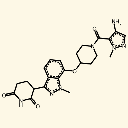 Cn1ncc(N)c1C(=O)N1CCC(Oc2cccc3c(C4CCC(=O)NC4=O)nn(C)c23)CC1